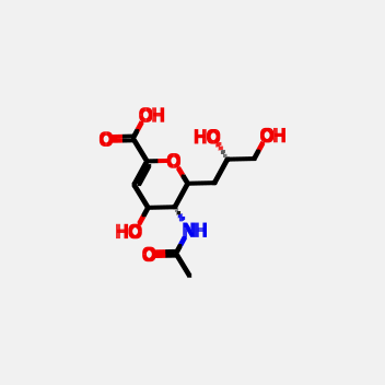 CC(=O)N[C@@H]1C(O)C=C(C(=O)O)OC1C[C@H](O)CO